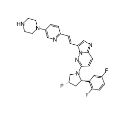 Fc1ccc(F)c([C@H]2C[C@H](F)CN2c2ccc3ncc(/C=C/c4ccc(N5CCNCC5)cn4)n3n2)c1